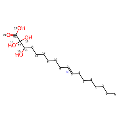 CCCCCCC/C=C/CCCCCCC(O)C(O)(O)C(=O)O